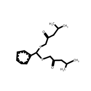 CC(C)CC(=O)CSC(SCC(=O)CC(C)C)c1ccccc1